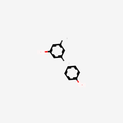 CC(C)(C)c1cc(O)cc(C(C)(C)C)c1.Oc1ccccc1